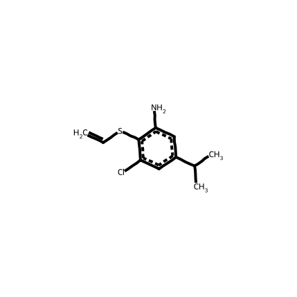 C=CSc1c(N)cc(C(C)C)cc1Cl